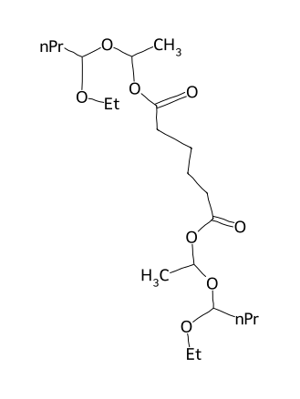 CCCC(OCC)OC(C)OC(=O)CCCCC(=O)OC(C)OC(CCC)OCC